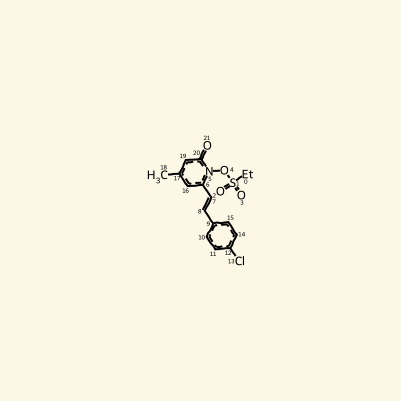 CCS(=O)(=O)On1c(C=Cc2ccc(Cl)cc2)cc(C)cc1=O